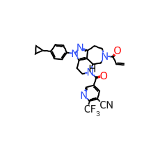 C=CC(=O)N1CCc2nn(-c3ccc(C4CC4)cc3)c3c2[C@@H](C1)N(C(=O)c1cnc(C(F)(F)F)c(C#N)c1)CC3